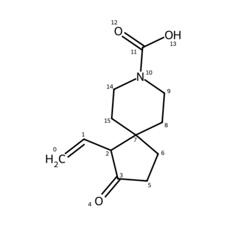 C=CC1C(=O)CCC12CCN(C(=O)O)CC2